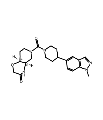 Cn1ncc2cc(C3CCN(C(=O)N4CC[C@@H]5OCC(=O)N[C@@H]5C4)CC3)ccc21